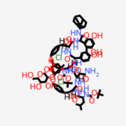 CC(C)CC(NC(=O)OC(C)(C)C)C(=O)N[C@H]1C(=O)N[C@@H](CC(N)=O)C(=O)N[C@H]2C(=O)N[C@H]3C(=O)N[C@@H](C(=O)NC(C(=O)NC4C5CC6CC(C5)CC4C6)c4cc(O)cc(O)c4-c4cc3ccc4O)[C@H](O)c3ccc(c(Cl)c3)Oc3cc2cc(c3OC2OC(CO)C(O)C(O)C2OC2CC(C)(NC(=O)OC(C)(C)C)CC(C)O2)Oc2ccc(cc2Cl)[C@H]1O